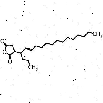 CCCCCCCCCCCCC=CC(CCC)C1CC(=O)OC1=O